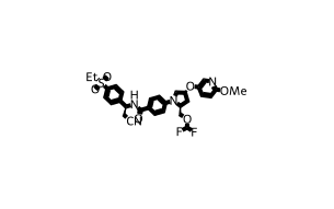 CCS(=O)(=O)c1ccc([C@H](CC#N)NC(=O)c2ccc(N3C[C@@H](Oc4ccc(OC)nc4)C[C@H]3COC(F)F)cc2)cc1